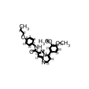 CCCOc1ccc(NC(=O)c2cc3nccc(-c4ccc(OC)c(OC)c4)n3n2)cc1